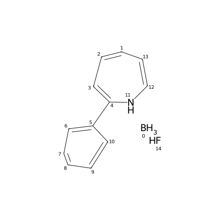 B.C1=CC=C(c2ccccc2)NC=C1.F